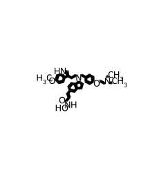 CCN(CC)CCOc1ccc(CN(CCc2c[nH]c3cc(OC)ccc23)C2CCc3cc(C=CC(=O)NO)ccc32)cc1